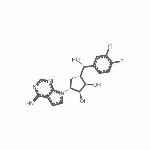 N=c1nc[nH]c2c1ccn2[C@@H]1C[C@H]([C@H](O)c2ccc(F)c(Cl)c2)[C@@H](O)[C@H]1O